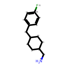 NCC1CCC([CH]c2ccc(F)cc2)CC1